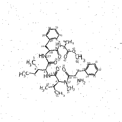 CC[C@H](C)[C@H](NC(=O)[C@H](C(C)C)N(C)C(=O)[C@@H](N)Cc1ccccc1)C(=O)N[C@@H](Cc1ccccc1)C(=O)N[C@@H](C)C(=O)OC